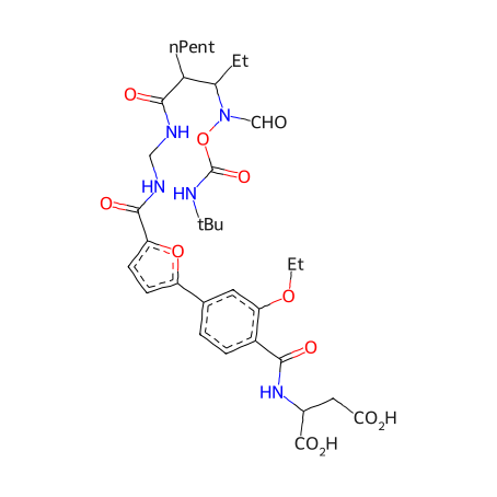 CCCCCC(C(=O)NCNC(=O)c1ccc(-c2ccc(C(=O)NC(CC(=O)O)C(=O)O)c(OCC)c2)o1)C(CC)N(C=O)OC(=O)NC(C)(C)C